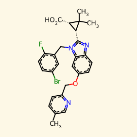 Cc1ccc(COc2ccc3nc([C@@H]4[C@H](C(=O)O)C4(C)C)n(Cc4cc(Br)ccc4F)c3c2)nc1